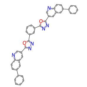 c1ccc(-c2ccc3ncc(-c4nnc(-c5cccc(-c6nnc(-c7cnc8ccc(-c9ccccc9)cc8c7)o6)c5)o4)cc3c2)cc1